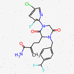 C=C(CCC1C(=O)N(c2ncc(Cl)cc2F)CC(=O)N1Cc1ccc(C(F)F)cc1)C(N)=O